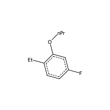 CCCOc1cc(F)ccc1CC